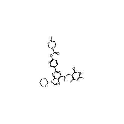 Cc1cc(C)c(CNc2nc(-c3ccc(OC(=O)N4CCNCC4)nc3)nc3c2ncn3C2CCCCO2)c(=O)[nH]1